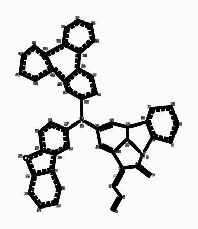 C=C/C=C1\C(=C)N2c3ccccc3C3C=C(N(c4ccc5oc6ccccc6c5c4)c4ccc5c6ccccc6c6ccccc6c5c4)C=C1C32